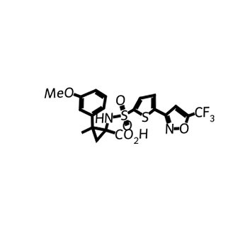 COc1cccc(C2(C)CC2(NS(=O)(=O)c2ccc(-c3cc(C(F)(F)F)on3)s2)C(=O)O)c1